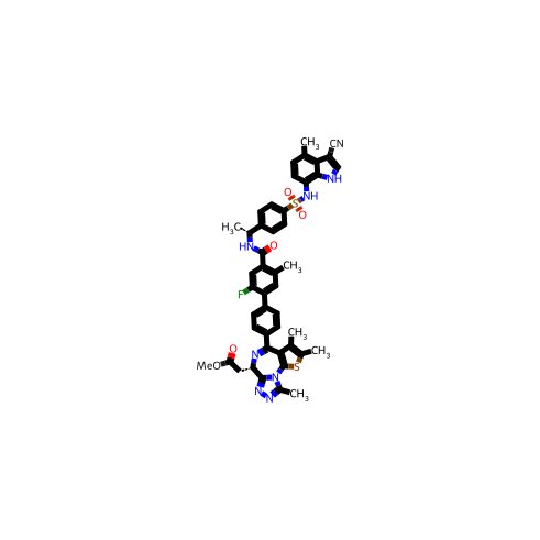 COC(=O)C[C@@H]1N=C(c2ccc(-c3cc(C)c(C(=O)N[C@H](C)c4ccc(S(=O)(=O)Nc5ccc(C)c6c(C#N)c[nH]c56)cc4)cc3F)cc2)c2c(sc(C)c2C)-n2c(C)nnc21